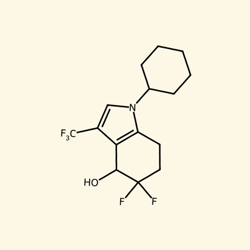 OC1c2c(C(F)(F)F)cn(C3CCCCC3)c2CCC1(F)F